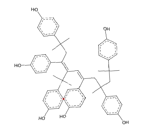 CC(C)(CC(=C(C=C(CC(C)(CC(C)(C)c1ccc(O)cc1)c1ccc(O)cc1)c1ccc(O)cc1)C(C)(C)c1ccc(O)cc1)c1ccc(O)cc1)c1ccc(O)cc1